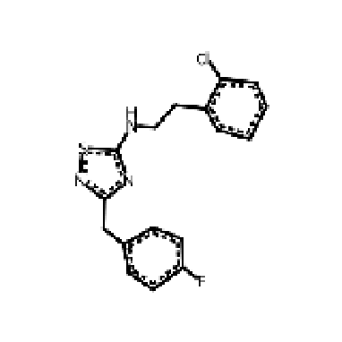 Fc1ccc(Cc2nsc(NCCc3ccccc3Cl)n2)cc1